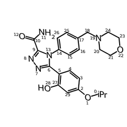 CC(C)Oc1ccc(-c2nnc(C(N)=O)n2-c2ccc(CN3CCOCC3)cc2)c(O)c1